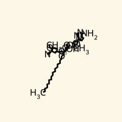 CCCCCCCCCCCCCCCCCCOC[C@H](COP(=O)(O)OC[C@]1(C)CC[C@H](c2ccc3c(N)ncnn23)O1)OCc1ccc(OC)c(C#N)c1